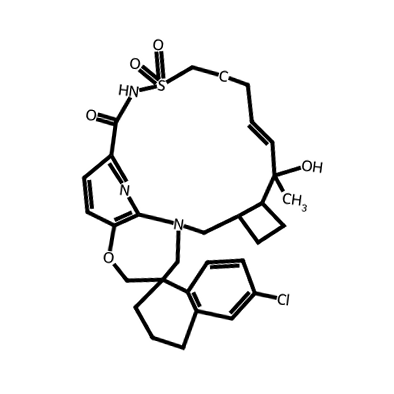 CC1(O)/C=C/CCCS(=O)(=O)NC(=O)c2ccc3c(n2)N(CC2CCC21)CC1(CCCc2cc(Cl)ccc21)CO3